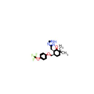 CC1(C)CC[C@@H](COc2ccc(OC(F)(F)F)cc2)[C@@H](Cc2nc[nH]n2)C1=O